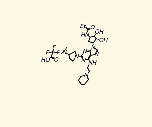 CCC(=O)N[C@H]1C[C@@H](n2cnc3c(NCCN4CCCCC4)nc(N4CC[C@@H](N(C)C)C4)nc32)[C@H](O)[C@@H]1O.O=C(O)C(F)(F)F